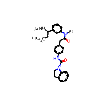 CCN(C(=O)Cc1ccc(NC(=O)N2CCc3ccccc32)cc1)c1cccc(C(CC(=O)O)NC(C)=O)c1